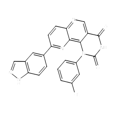 O=c1[nH]c(=O)n(-c2cccc(C(F)(F)F)c2)c2c1cnc1ccc(-c3ccc4[nH]ncc4c3)nc12